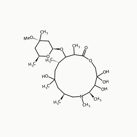 CO[C@]1(C)C[C@@H](OC2C(C)C(=O)OCC(O)(O)C(O)[C@@H](C)N(C)C[C@@H](C)CC(C)(O)C[C@@H]2C)O[C@@H](C)C1